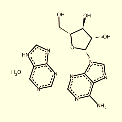 Nc1ncnc2c1ncn2[C@@H]1O[C@H](CO)[C@@H](O)[C@@H]1O.O.c1ncc2[nH]cnc2n1